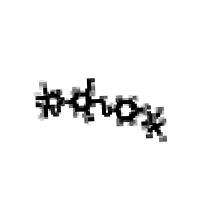 CC1(C)OB(c2cc(F)c(COc3ccc(O[Si](C)(C)C(C)(C)C)cc3)c(F)c2)OC1(C)C